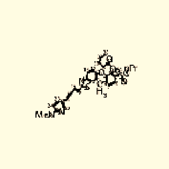 CCCOS(=O)(=O)c1ccc(C)c(Oc2ccc3nc(/C=C/C#Cc4ccc(NC)nc4)sc3c2)c1OC1CCCCO1